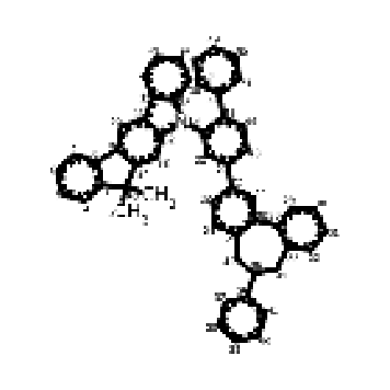 CC1(C)c2ccccc2-c2cc3c4ccccc4n(-c4cc(-c5ccc6c(c5)-c5ccccc5CC(c5ccccc5)C6)ccc4-c4ccccc4)c3cc21